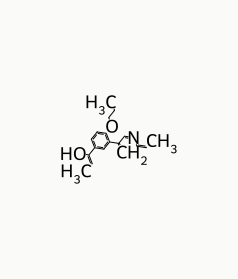 C=C(/C=N\C=C/C)c1cc(/C(O)=C/C)ccc1OCCC